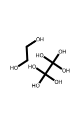 OC(O)(O)C(O)(O)O.OCCO